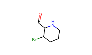 O=CC1NCCCC1Br